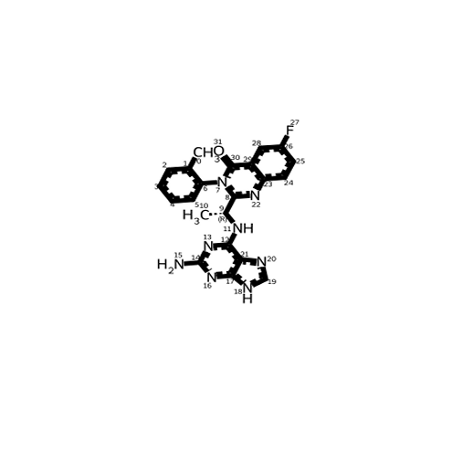 Cc1ccccc1-n1c([C@@H](C)Nc2nc(N)nc3[nH]cnc23)nc2ccc(F)cc2c1=O